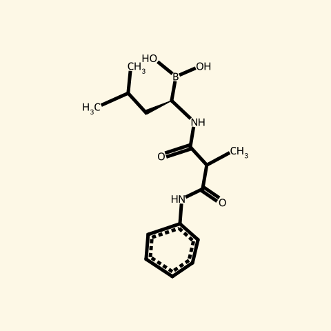 CC(C)C[C@H](NC(=O)C(C)C(=O)Nc1ccccc1)B(O)O